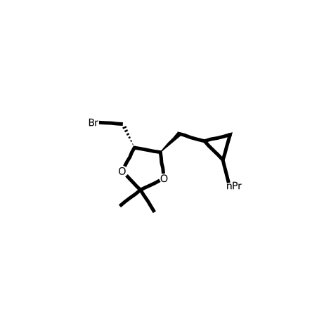 CCCC1CC1C[C@H]1OC(C)(C)O[C@@H]1CBr